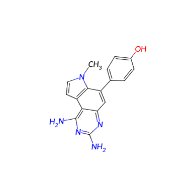 Cn1ccc2c3c(N)nc(N)nc3cc(-c3ccc(O)cc3)c21